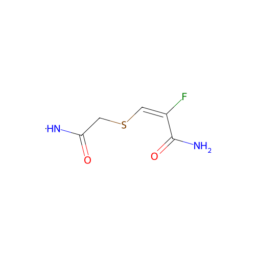 [NH]C(=O)CS/C=C(/F)C(N)=O